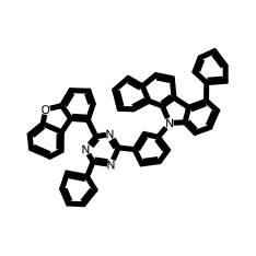 c1ccc(-c2nc(-c3cccc(-n4c5cccc(-c6ccccc6)c5c5ccc6ccccc6c54)c3)nc(-c3cccc4oc5ccccc5c34)n2)cc1